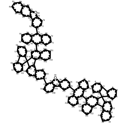 c1ccc2c(c1)-c1ccccc1C21c2ccc3ccccc3c2-c2c1cc(-c1c3ccccc3c(-c3ccc4oc5c(-c6ccc7c8c(ccc7c6)C6(c7ccccc7-c7ccccc76)c6cc(-c7c9ccccc9c(-c9ccc%10oc%11cc%12ccccc%12cc%11c%10c9)c9ccccc79)c7ccccc7c6-8)cccc5c4c3)c3ccccc13)c1ccccc21